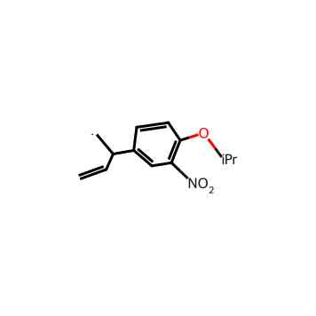 [CH2]C(C=C)c1ccc(OC(C)C)c([N+](=O)[O-])c1